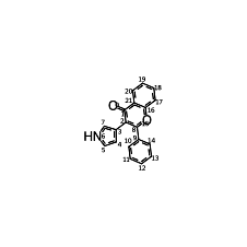 O=c1c(-c2cc[nH]c2)c(-c2ccccc2)oc2ccccc12